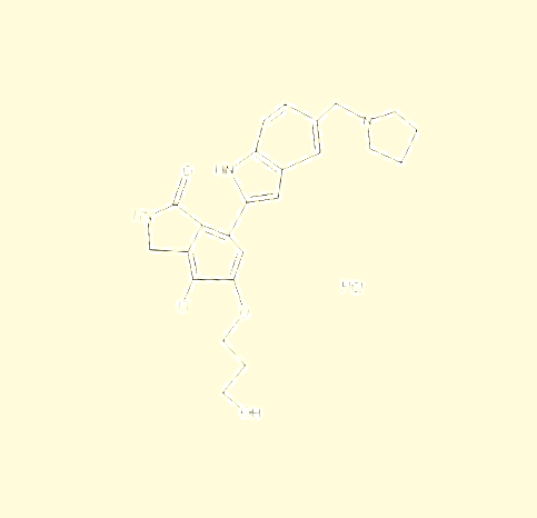 Cl.O=C1NCc2c(Cl)c(OCCCO)cc(-c3cc4cc(CN5CCCC5)ccc4[nH]3)c21